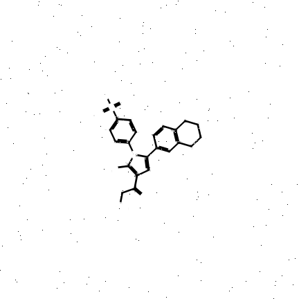 CCC(=O)c1cc(-c2ccc3c(c2)CCCC3)n(-c2ccc(S(N)(=O)=O)cc2)c1C